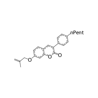 C=C(C)COc1ccc2cc(-c3ccc(CCCCC)cc3)c(=O)oc2c1